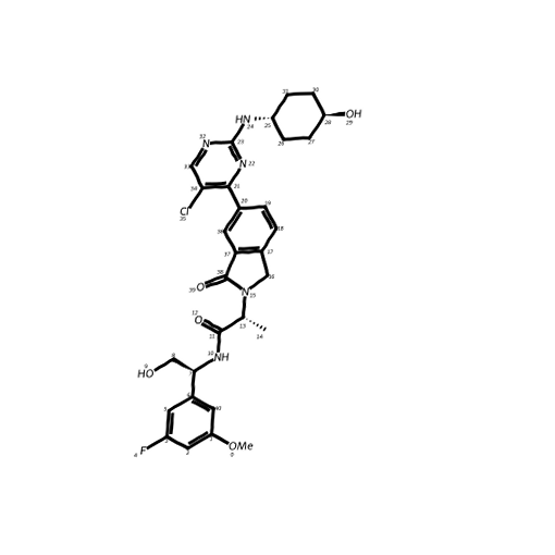 COc1cc(F)cc([C@@H](CO)NC(=O)[C@@H](C)N2Cc3ccc(-c4nc(N[C@H]5CC[C@H](O)CC5)ncc4Cl)cc3C2=O)c1